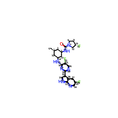 C[C@H]1CC(NC(=O)N2CC[C@H](F)C2)CC(Nc2nc(-c3c[nH]c4ncc(F)cc34)ncc2F)C1